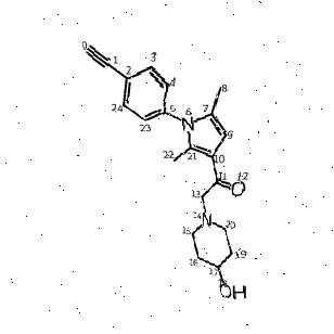 C#Cc1ccc(-n2c(C)cc(C(=O)CN3CCC(O)CC3)c2C)cc1